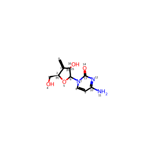 C=C1[C@H](CO)OC(n2ccc(N)nc2=O)[C@@H]1O